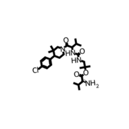 CC(C)C(NC(=O)NCC(C)(C)OC(=O)[C@@H](N)C(C)C)C(=O)N1CCC(c2ccc(Cl)cc2)C(C)(C)C1